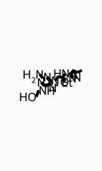 CCn1nc(C)cc1NC(=O)Cn1cnc2c(NCCO)nc(N)nc21